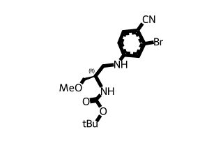 COC[C@@H](CNc1ccc(C#N)c(Br)c1)NC(=O)OC(C)(C)C